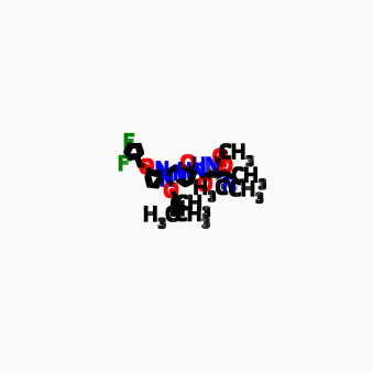 COC(=O)N[C@@H](CCC(C)N(C)C)C(=O)Nc1cccn(Cc2nc3c(OCc4ccc(F)cc4F)cccc3n2COCC[Si](C)(C)C)c1=O